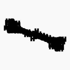 N[C@H](CC(=O)NCC(O)COCC(O)COCC(O)COCC(O)COCC(O)COCC(O)CN(C[C@H](O)[C@@H](O)[C@H](O)[C@H](O)CO)C[C@H](O)[C@@H](O)[C@H](O)[C@H](O)CO)C(=O)NCC(O)COCC(O)COCC(O)COCC(O)COCC(O)COCC(O)CN(C[C@H](O)[C@@H](O)[C@H](O)[C@H](O)CO)C[C@H](O)[C@@H](O)[C@H](O)[C@H](O)CO